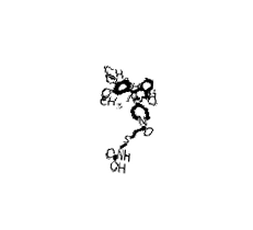 COc1ccc(C2=NN(C3CCN(C(=O)CCSCCNC(=O)O)CC3)C(=O)[C@@H]3CC=CC[C@H]23)cc1OC